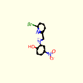 O=[N+]([O-])c1ccc(O)c(/N=C/c2cccc(Br)n2)c1